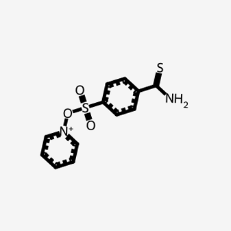 NC(=S)c1ccc(S(=O)(=O)O[n+]2ccccc2)cc1